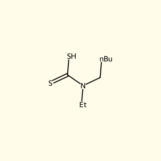 CCCCCN(CC)C(=S)S